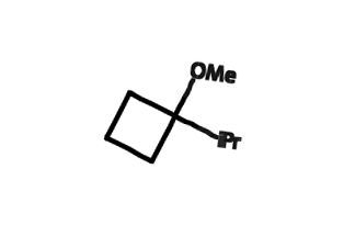 COC1(C(C)C)CCC1